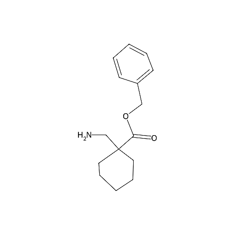 NCC1(C(=O)OCc2ccccc2)CCCCC1